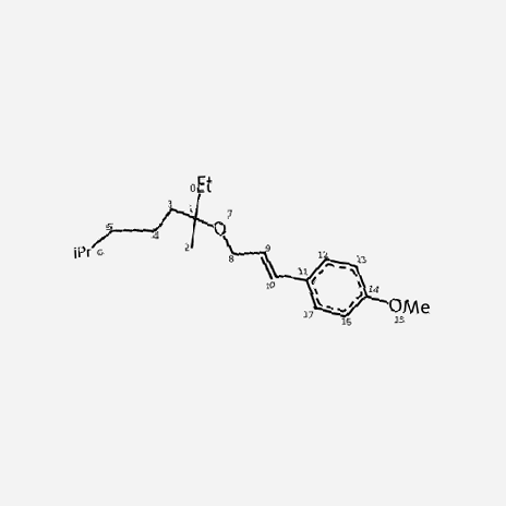 CCC(C)(CCCC(C)C)OC/C=C/c1ccc(OC)cc1